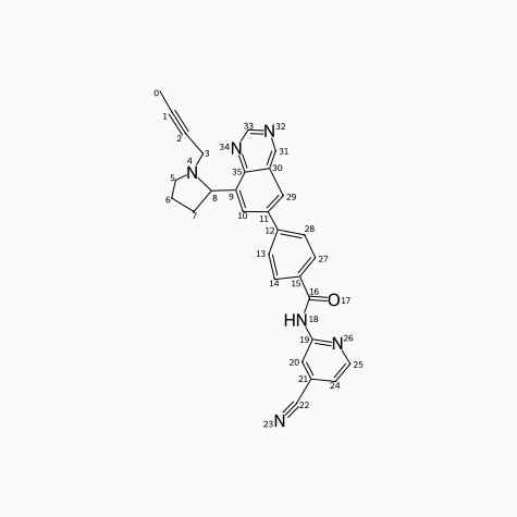 CC#CCN1CCCC1c1cc(-c2ccc(C(=O)Nc3cc(C#N)ccn3)cc2)cc2cncnc12